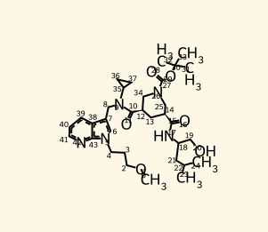 COCCCn1cc(CN(C(=O)[C@@H]2C[C@H](C(=O)NC(CO)CC(C)C)CN(C(=O)OC(C)(C)C)C2)C2CC2)c2cccnc21